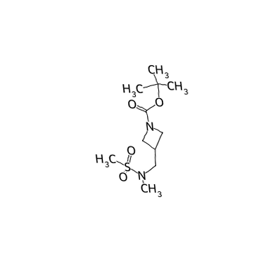 CN(CC1CN(C(=O)OC(C)(C)C)C1)S(C)(=O)=O